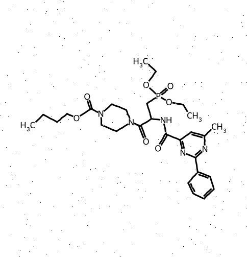 CCCCOC(=O)N1CCN(C(=O)C(CP(=O)(OCC)OCC)NC(=O)c2cc(C)nc(-c3ccccc3)n2)CC1